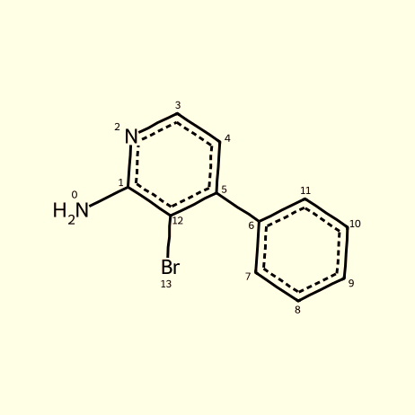 Nc1nccc(-c2ccccc2)c1Br